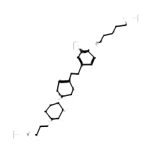 CCCCCCOc1ccc(CCC2=CCC([C@H]3CC[C@H](CCCC)CC3)CC2)cc1F